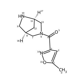 Cc1cc(C(=O)N2C[C@H]3CN[C@H](C3)C2)no1